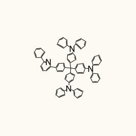 c1ccc(-c2cccc(-c3ccc(C(c4ccc(N(c5ccccc5)c5ccccc5)cc4)(c4ccc(N(c5ccccc5)c5ccccc5)cc4)c4ccc(N(c5ccccc5)c5ccccc5)cc4)cc3)n2)cc1